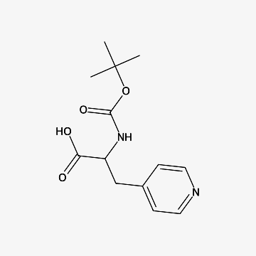 CC(C)(C)OC(=O)NC(Cc1ccncc1)C(=O)O